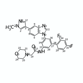 Cn1cc(-c2ccc3c(c2)ncn3-c2cc(NC(=O)CN3CCOCC3)cc(-c3ccc(F)cc3F)c2)cn1